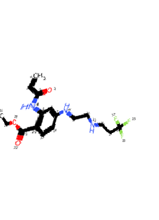 C=CC(=O)Nc1cc(NCCNCCC(F)(F)F)ccc1C(=O)OCC